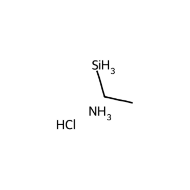 CC[SiH3].Cl.N